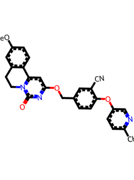 COc1ccc2c(c1)CCn1c-2cc(OCc2ccc(Oc3ccc(C)nc3)c(C#N)c2)nc1=O